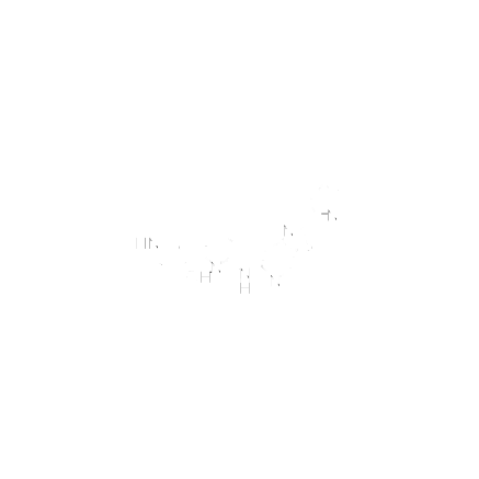 Cc1cccnc1-c1nc2cc(Nc3cccc(C4(O)CC5CC4CN5)n3)ncc2s1